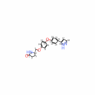 O=C1CC[C@H](COc2ccc(Oc3ccc(-c4ccn[nH]4)cc3)cc2)N1